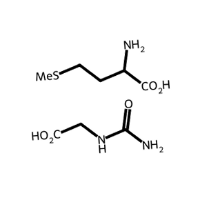 CSCCC(N)C(=O)O.NC(=O)NCC(=O)O